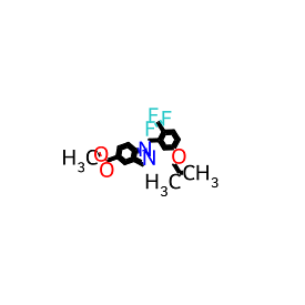 COC(=O)c1ccc2c(cnn2Cc2cc(OCC(C)C)ccc2C(F)(F)F)c1